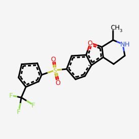 CC1NCCc2c1oc1cc(S(=O)(=O)c3cccc(C(F)(F)F)c3)ccc21